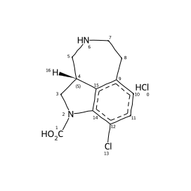 Cl.O=C(O)N1C[C@@H]2CNCCc3ccc(Cl)c1c32